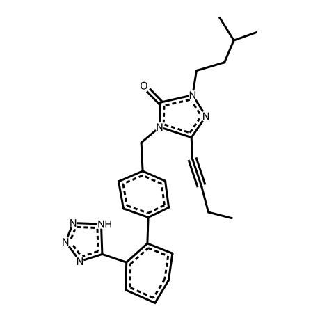 CCC#Cc1nn(CCC(C)C)c(=O)n1Cc1ccc(-c2ccccc2-c2nnn[nH]2)cc1